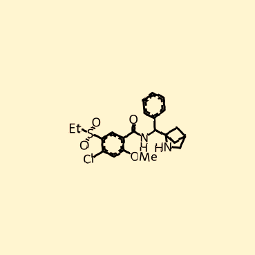 CCS(=O)(=O)c1cc(C(=O)NC(c2ccccc2)C23CC(CN2)C3)c(OC)cc1Cl